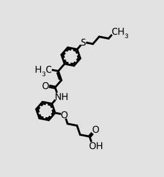 CCCCSc1ccc(C(C)=CC(=O)Nc2ccccc2OCCCC(=O)O)cc1